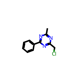 Cc1nc(CCl)nc(-c2ccccc2)n1